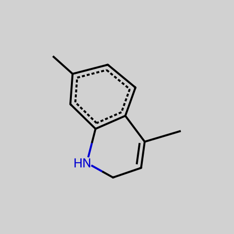 CC1=CCNc2cc(C)ccc21